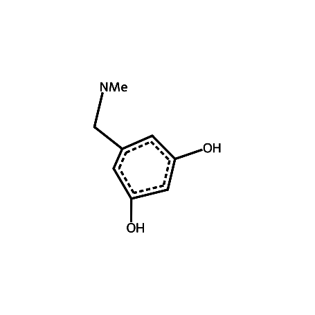 CNCc1cc(O)cc(O)c1